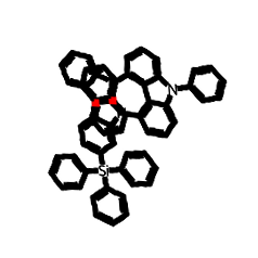 c1ccc(-n2c3cccc(-n4c5ccccc5c5ccccc54)c3c3c(-n4c5ccccc5c5ccc([Si](c6ccccc6)(c6ccccc6)c6ccccc6)cc54)cccc32)cc1